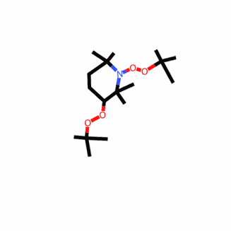 CC(C)(C)OOC1CCC(C)(C)N(OOC(C)(C)C)C1(C)C